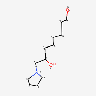 [O]CCCCCCC(O)CN1CCCC1